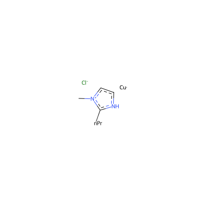 CCCc1[nH]cc[n+]1C.[Cl-].[Cu]